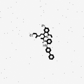 C=CC1=NC(C(=C)N(C)c2ccccc2Nc2ccc(-c3ccccc3)cc2)C(CCC(=C)/C=C\CC)c2cc(C(C)C)ccc21